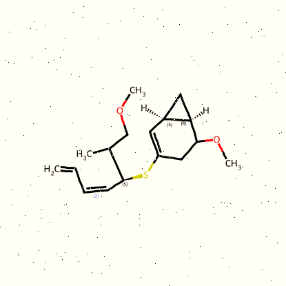 C=C/C=C\[C@H](SC1=C[C@H]2C[C@H]2C(OC)C1)C(C)COC